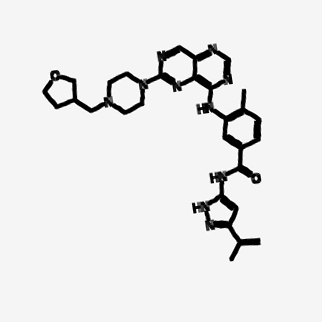 C=C(C)c1cc(NC(=O)c2ccc(C)c(Nc3ncnc4cnc(N5CCN(CC6CCOC6)CC5)nc34)c2)[nH]n1